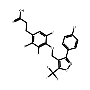 O=C(O)CCc1cc(F)c(OCc2c(-c3ccc(Cl)cc3)nsc2C(F)(F)F)c(F)c1F